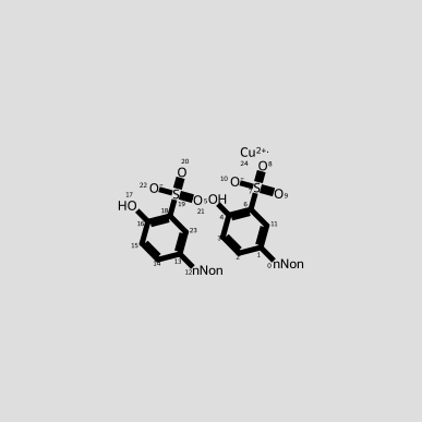 CCCCCCCCCc1ccc(O)c(S(=O)(=O)[O-])c1.CCCCCCCCCc1ccc(O)c(S(=O)(=O)[O-])c1.[Cu+2]